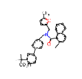 Cc1ccc2ccccc2c1C(=O)N(Cc1ccc(-c2cccc(C(C)(C)C(=O)O)c2)cc1)Cc1ccc(C(F)(F)F)o1